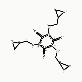 O=c1n(OCC2CO2)c(=O)n(OCC2CO2)c(=O)n1OCC1CO1